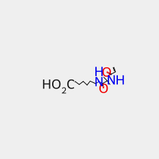 C=CC(=O)NC(C)(C)C(=O)NCCCCCCC(=O)O